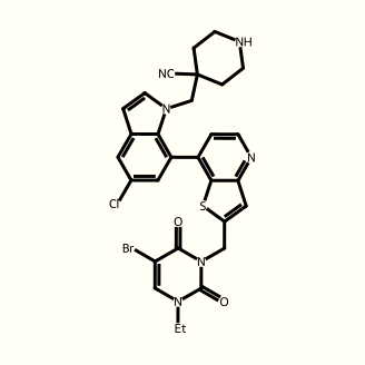 CCn1cc(Br)c(=O)n(Cc2cc3nccc(-c4cc(Cl)cc5ccn(CC6(C#N)CCNCC6)c45)c3s2)c1=O